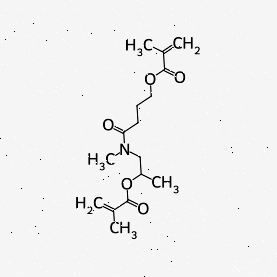 C=C(C)C(=O)OCCCC(=O)N(C)CC(C)OC(=O)C(=C)C